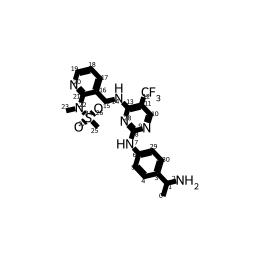 CC(N)c1ccc(Nc2ncc(C(F)(F)F)c(NCc3cccnc3N(C)S(C)(=O)=O)n2)cc1